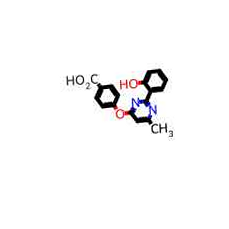 Cc1cc(Oc2ccc(C(=O)O)cc2)nc(-c2ccccc2O)n1